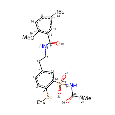 CCSc1ccc(CCNC(=O)c2cc(C(C)(C)C)ccc2OC)cc1S(=O)(=O)NC(=O)NC